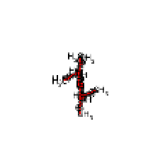 CCCCOC(=O)CCCCCCC(O)CN(CCCCSSCCN1CCN(CCOC(=O)CCCCN(CC(O)CCCCCCC(=O)OCCC(C)C)CC(O)CCCCCCC(=O)OCCC(C)C)CC1)CC(O)CCCCCCC(=O)OCCCC